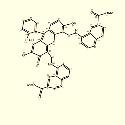 COC(=O)c1ccc2cccc(NCc3c4oc5c(CNc6cccc7ccc(C(=O)OC)nc67)c(O)ccc5c(-c5ccccc5C(=O)O)c-4cc(Cl)c3=O)c2n1